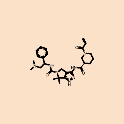 C=CC(=O)N1CCC[C@@H](C(=O)Nc2n[nH]c3c2CN(C(=O)NC(CN(C)C)c2ccccc2)C3(C)C)C1